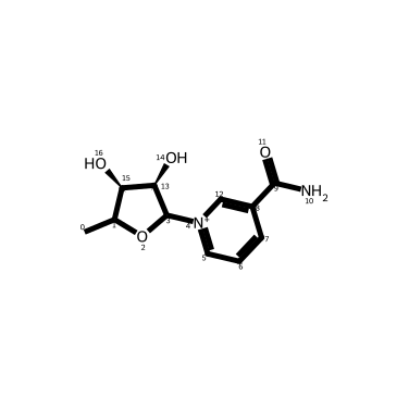 CC1OC([n+]2cccc(C(N)=O)c2)[C@H](O)[C@@H]1O